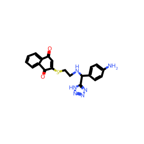 Nc1ccc(C(NCCSC2=CC(=O)c3ccccc3C2=O)c2nnn[nH]2)cc1